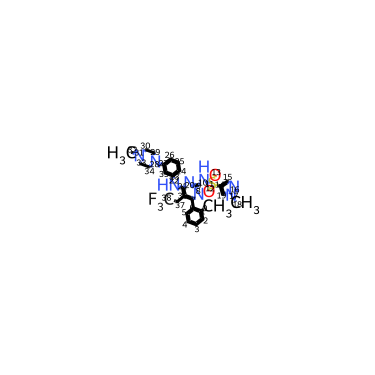 Cc1ccccc1-c1nc(NS(=O)(=O)c2cnn(C)c2)nc(Nc2cccc(N3CCN(C)CC3)c2)c1CC(F)(F)F